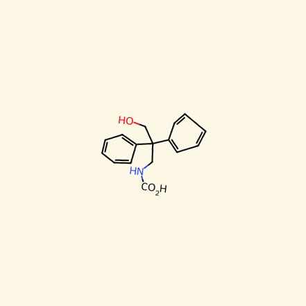 O=C(O)NCC(CO)(c1ccccc1)c1ccccc1